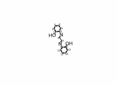 Oc1ccccc1N=C/C=N/c1ccccc1O